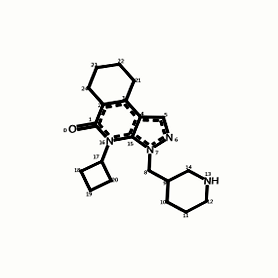 O=c1c2c(c3cnn(CC4CCCNC4)c3n1C1CCC1)CCCC2